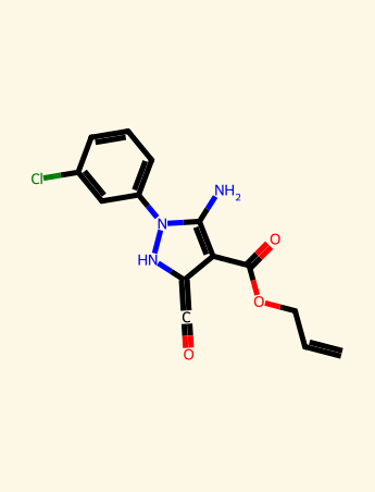 C=CCOC(=O)C1=C(N)N(c2cccc(Cl)c2)NC1=C=O